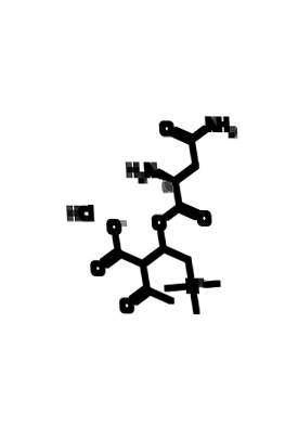 CC(=O)C(C(=O)[O-])C(C[N+](C)(C)C)OC(=O)[C@@H](N)CC(N)=O.Cl